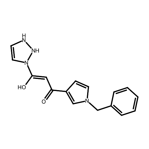 O=C(C=C(O)N1C=CNN1)c1ccn(Cc2ccccc2)c1